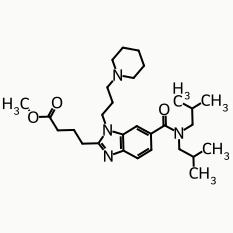 COC(=O)CCCc1nc2ccc(C(=O)N(CC(C)C)CC(C)C)cc2n1CCCN1CCCCC1